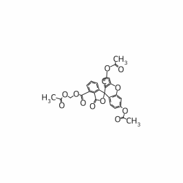 CC(=O)OCOC(=O)c1cccc2c1C(=O)OC21c2ccc(OC(C)=O)cc2Oc2cc(OC(C)=O)ccc21